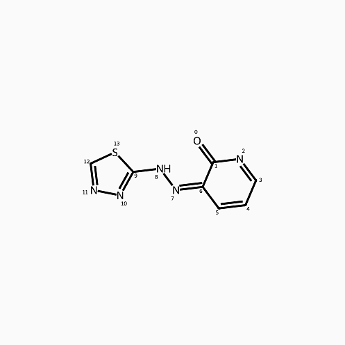 O=C1N=CC=CC1=NNc1nncs1